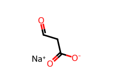 O=CCC(=O)[O-].[Na+]